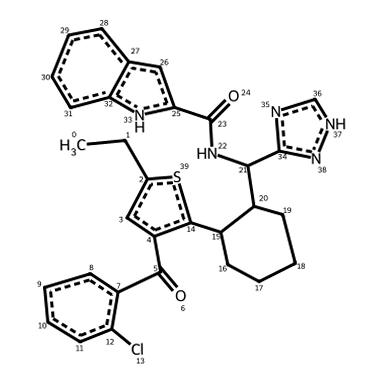 CCc1cc(C(=O)c2ccccc2Cl)c(C2CCCCC2C(NC(=O)c2cc3ccccc3[nH]2)c2nc[nH]n2)s1